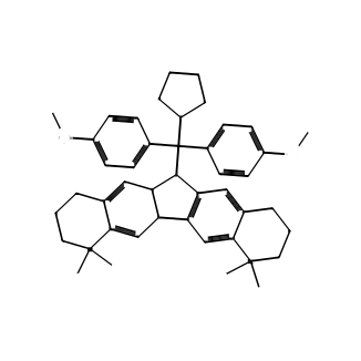 COc1ccc(C(c2ccc(OC)cc2)(C2CCCC2)C2c3cc4c(cc3C3C=C5C(=CC32)CCCC5(C)C)C(C)(C)CCC4)cc1